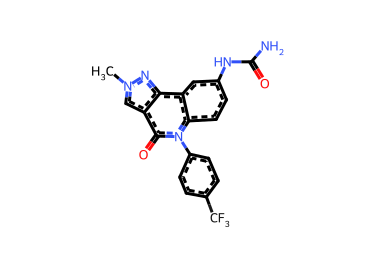 Cn1cc2c(=O)n(-c3ccc(C(F)(F)F)cc3)c3ccc(NC(N)=O)cc3c2n1